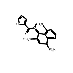 C[N+](C(=O)c1ccc[nH]1)=C1C(S(=O)(=O)O)=CC(S(=O)(=O)O)c2cccc(N)c21